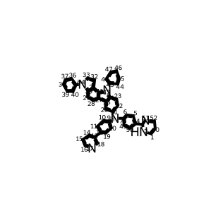 C1=CNC(c2ccc(N(c3ccc(-c4cccnc4)cc3)c3ccc4c(c3)c3ccc5c(ccn5-c5ccccc5)c3n4-c3ccccc3)cc2)N=C1